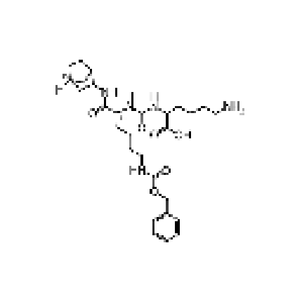 NCCCCC(NC(=O)N[C@H](CCCCNC(=O)OCc1ccccc1)C(=O)NC1C[C@@H]2CCC1C2)C(=O)O